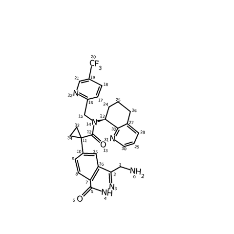 NCc1n[nH]c(=O)c2ccc(C3(C(=O)N(Cc4ccc(C(F)(F)F)cn4)[C@H]4CCCc5cccnc54)CC3)cc12